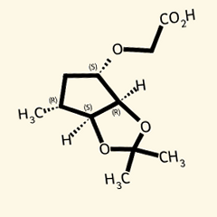 C[C@@H]1C[C@H](OCC(=O)O)[C@H]2OC(C)(C)O[C@H]21